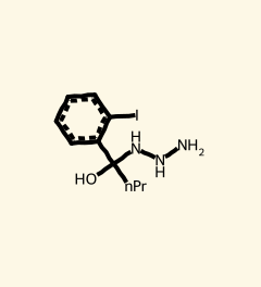 CCCC(O)(NNN)c1ccccc1I